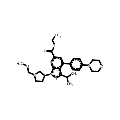 CCOC(=O)c1cc(-c2ccc(N3CCOCC3)cc2)c2c(C(C)C)nn(C3CCN(COC)C3)c2n1